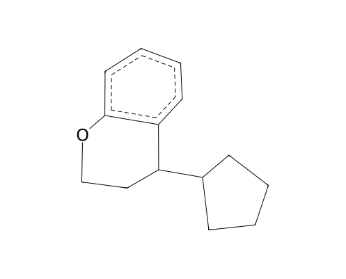 c1ccc2c(c1)OCCC2C1CCCC1